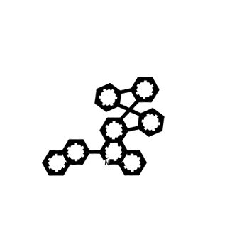 c1ccc2c(c1)-c1ccccc1C21c2ccccc2-c2c1ccc1c(-c3ccc4ccccc4c3)nc3ccccc3c21